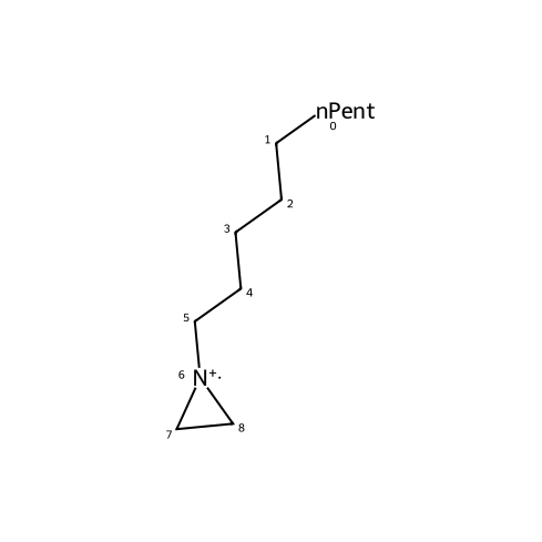 CCCCCCCCCC[N+]1CC1